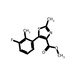 COC(=O)c1nc(C)sc1-c1cccc(F)c1C